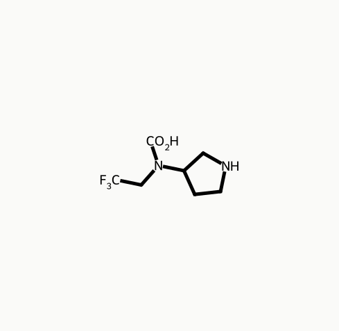 O=C(O)N(CC(F)(F)F)C1CCNC1